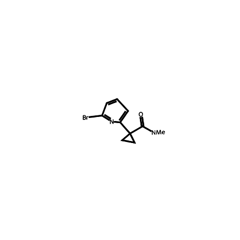 CNC(=O)C1(c2cccc(Br)n2)CC1